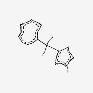 CC(C)(c1ccccc1)c1cc[nH]n1